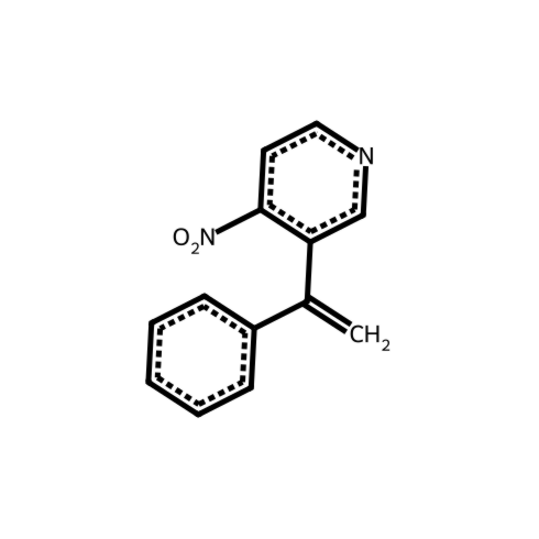 C=C(c1ccccc1)c1cnccc1[N+](=O)[O-]